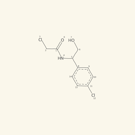 O=C(CCl)NC(CO)c1ccc(Cl)cc1